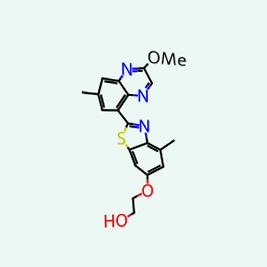 COc1cnc2c(-c3nc4c(C)cc(OCCO)cc4s3)cc(C)cc2n1